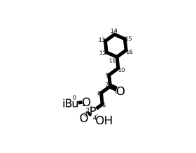 CCC(C)OP(=O)(O)CCC(=O)CCC1CCCCC1